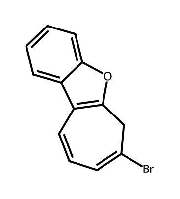 BrC1=CC=Cc2c(oc3ccccc23)C1